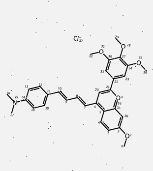 COc1ccc2c(C=CC=Cc3ccc(N(C)C)cc3)cc(-c3cc(OC)c(OC)c(OC)c3)[o+]c2c1.[Cl-]